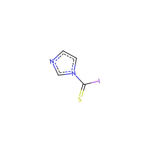 S=C(I)n1ccnc1